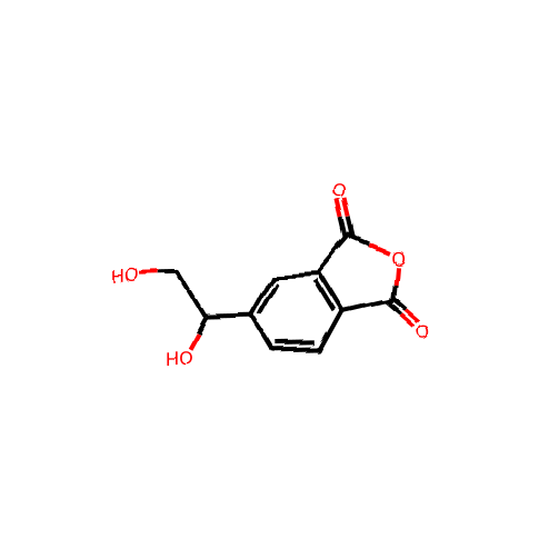 O=C1OC(=O)c2cc(C(O)CO)ccc21